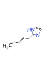 C=CC=CCc1ncc[nH]1